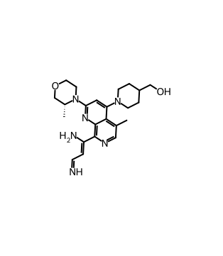 Cc1cnc(/C(N)=C/C=N)c2nc(N3CCOC[C@H]3C)cc(N3CCC(CO)CC3)c12